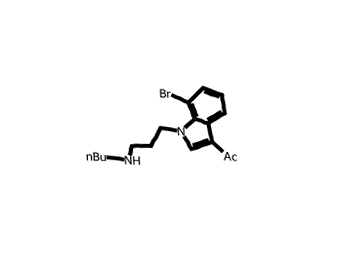 CCCCNCCCn1cc(C(C)=O)c2cccc(Br)c21